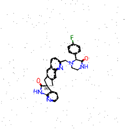 O=C1NCCN(Cc2ccc3cc4c(cc3n2)C[C@@]2(C4)C(=O)Nc3ncccc32)C1c1ccc(F)cc1